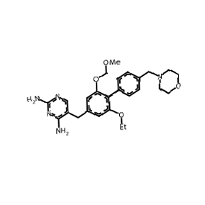 CCOc1cc(Cc2cnc(N)nc2N)cc(OCOC)c1-c1ccc(CN2CCOCC2)cc1